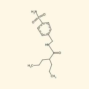 CCCC(CCC)C(=O)NCc1ccc(S(N)(=O)=O)cc1